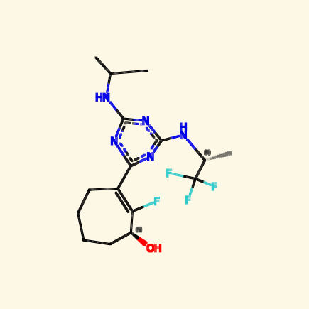 CC(C)Nc1nc(N[C@H](C)C(F)(F)F)nc(C2=C(F)[C@@H](O)CCCC2)n1